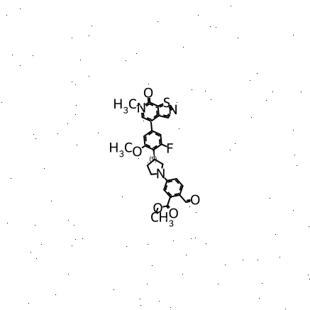 COC(=O)c1cc(N2CC[C@@H](c3c(F)cc(-c4cn(C)c(=O)c5sncc45)cc3OC)C2)ccc1C=O